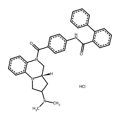 CN(C)C1C[C@H]2CN(C(=O)c3ccc(NC(=O)c4ccccc4-c4ccccc4)cc3)c3ccccc3N2C1.Cl